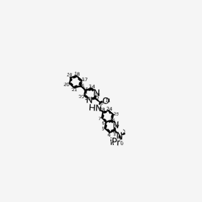 CC(C)N(C)c1ccc2cc(NC(=O)c3ncc(-c4ccccc4)cn3)ccc2n1